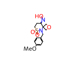 COc1ccc(CN2C3(COC3)/C(=N/O)CCS2(=O)=O)cc1